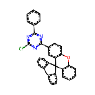 Clc1nc(-c2ccccc2)nc(-c2ccc3c(c2)C2(c4ccccc4O3)c3ccccc3-c3ccccc32)n1